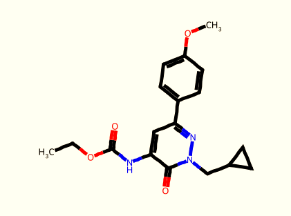 CCOC(=O)Nc1cc(-c2ccc(OC)cc2)nn(CC2CC2)c1=O